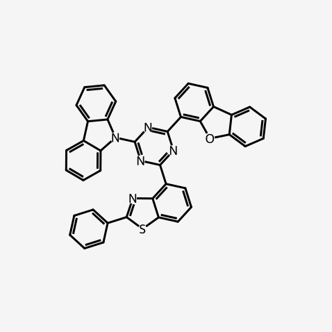 c1ccc(-c2nc3c(-c4nc(-c5cccc6c5oc5ccccc56)nc(-n5c6ccccc6c6ccccc65)n4)cccc3s2)cc1